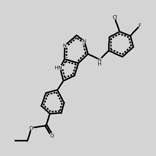 CCOC(=O)c1ccc(-c2cc3c(Nc4ccc(F)c(Cl)c4)ncnc3[nH]2)cc1